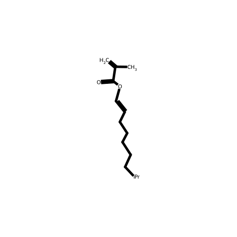 C=C(C)C(=O)OC=CCCCCCC(C)C